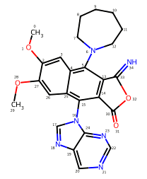 COc1cc2c(N3CCCCCC3)c3c(c(-n4cnc5cncnc54)c2cc1OC)C(=O)OC3=N